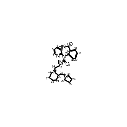 O=C1Nc2cccnc2N(C(=O)NCCN2CCCCC2CN2CCCC2)c2ccccc21